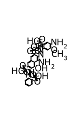 COc1cc(N=Nc2c(S(=O)(=O)O)cc3cc(S(=O)(=O)O)c(N=Nc4ccccc4S(=O)(=O)O)c(O)c3c2N)c(S(=O)(=O)O)cc1N